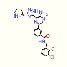 Nc1ncc(-c2cccc(C(=O)NCc3cccc(Cl)c3Cl)c2)nc1-c1nc([C@H]2CCCNC2)n[nH]1